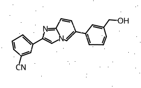 N#Cc1cccc(-c2cn3cc(-c4cccc(CO)c4)ccc3n2)c1